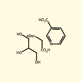 CCCCCCCCCCCC(=O)O.O=C(O)c1cccnc1.OCC(O)CO